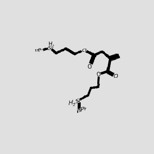 C=C(CC(=O)OCCC[SiH2]CCC)C(=O)OCCC[SiH2]CCC